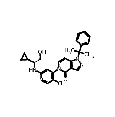 CC(C)(c1ccccc1)n1ncc2c(=O)n(-c3cc(N[C@H](CO)C4CC4)ncc3Cl)ccc21